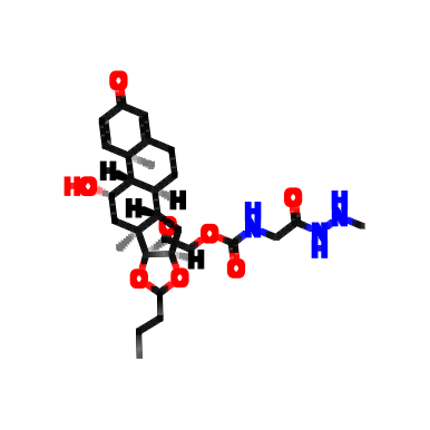 CCCC1O[C@@H]2C[C@H]3[C@@H]4CCC5=CC(=O)C=C[C@]5(C)[C@H]4[C@@H](O)C[C@]3(C)[C@]2(C(=O)COC(=O)NCC(=O)NNC)O1